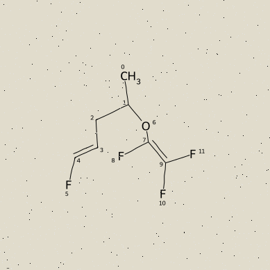 CC(CC=CF)OC(F)=C(F)F